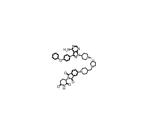 Nc1ncnc2c1c(-c1ccc(Oc3ccccc3)cc1)nn2C1CCN(C[C@@H]2CCN(CC3CCN(c4ccc5c(c4)C(=O)N(C4CCC(=O)NC4=O)C5=O)CC3)C2)CC1